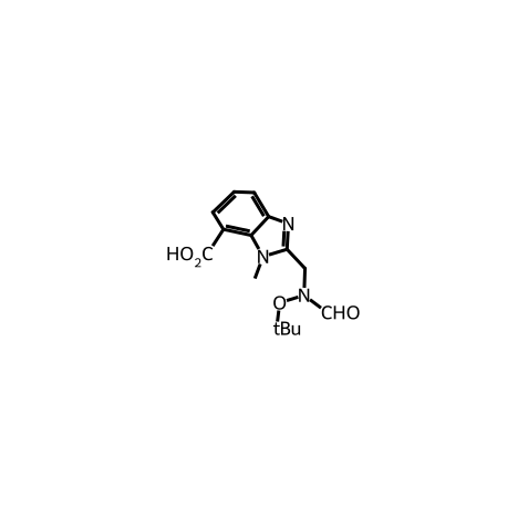 Cn1c(CN(C=O)OC(C)(C)C)nc2cccc(C(=O)O)c21